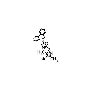 Cc1nn(Cc2nnc(SCc3ccccc3-c3ccsc3)o2)c(C)c1Br